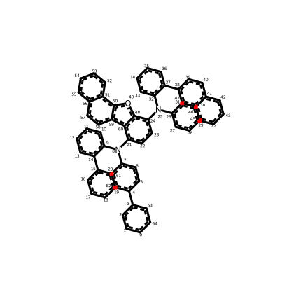 c1ccc(-c2ccc(N(c3ccccc3-c3ccccc3)c3ccc(N(c4ccccc4)c4ccccc4-c4ccc5ccccc5c4)c4oc5c6ccccc6ccc5c34)cc2)cc1